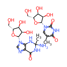 CC1(N)NC(=O)c2ncn([C@@H]3O[C@H](CO)[C@@H](O)[C@H]3O)c2N1.Cc1cn([C@@H]2O[C@H](CO)[C@@H](O)[C@H]2O)c(=O)[nH]c1=O